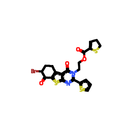 O=C(OCCn1c(-c2cccs2)nc2sc3c(c2c1=O)CCC(Br)C3=O)C1=CCCS1